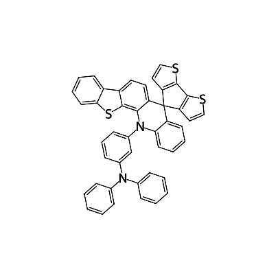 c1ccc(N(c2ccccc2)c2cccc(N3c4ccccc4C4(c5ccsc5-c5sccc54)c4ccc5c(sc6ccccc65)c43)c2)cc1